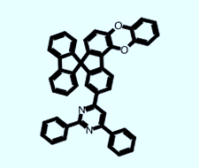 c1ccc(-c2cc(-c3ccc4c(c3)C3(c5ccccc5-c5ccccc53)c3ccc5c(c3-4)Oc3ccccc3O5)nc(-c3ccccc3)n2)cc1